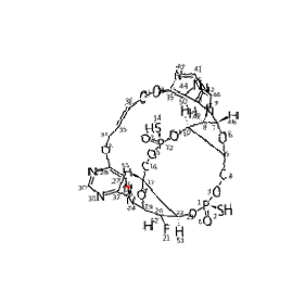 O=[P@@]1(S)OCC2O[C@@H]3[C@H](F)[C@@H]2O[P@](=O)(S)OC[C@H]2OC([C@H](F)[C@@H]2O1)n1cnc2c(ncnc21)OC/C=C/COc1ncnc2c1ncn23